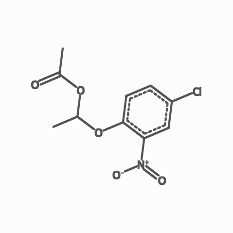 CC(=O)OC(C)Oc1ccc(Cl)cc1[N+](=O)[O-]